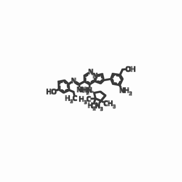 CCc1cc(O)ccc1/N=C(\N)c1cnn2cc(-c3cc(N)cc(CO)c3)cc2c1N[C@@H]1CC[C@](C)(N)C1(C)C